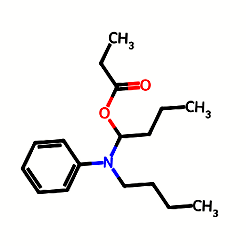 CCCCN(c1ccccc1)C(CCC)OC(=O)CC